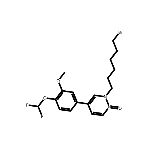 COc1cc(-c2cc[n+](=O)n(CCCCCCBr)c2)ccc1OC(F)F